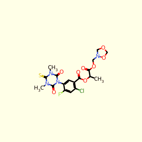 CC(OC(=O)c1cc(-n2c(=O)n(C)c(=S)n(C)c2=O)c(F)cc1Cl)C(=O)OCN1COCO1